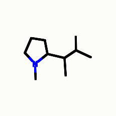 CC(C)C(C)C1CCCN1C